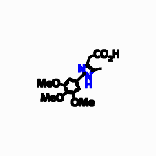 COc1cc(-c2nc(CC(=O)O)c(C)[nH]2)cc(OC)c1OC